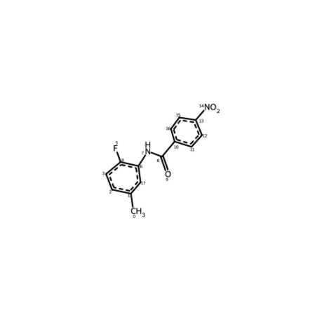 Cc1ccc(F)c(NC(=O)c2ccc([N+](=O)[O-])cc2)c1